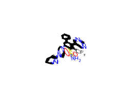 NS(=O)(=O)c1c(N2CCN(c3ccccn3)CC2)cc(-c2ccccc2)c(-c2cncnc2)c1C(F)(F)F